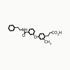 Cc1cc(Oc2cccc(C(=O)NCCc3ccccc3)c2)ccc1CCC(=O)O